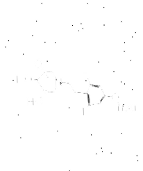 CCCCOc1cc(F)c(CCN2C[C@@H](O)C(O)[C@@H](O)C2)c(F)c1